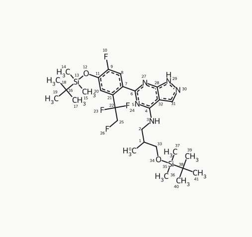 CC(CNc1nc(-c2cc(F)c(O[Si](C)(C)C(C)(C)C)cc2C(F)(F)CF)nc2[nH]ncc12)CO[Si](C)(C)C(C)(C)C